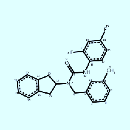 Cc1cccc(CN(C(=O)Nc2ccc(F)cc2F)C2Cc3ccccc3C2)c1